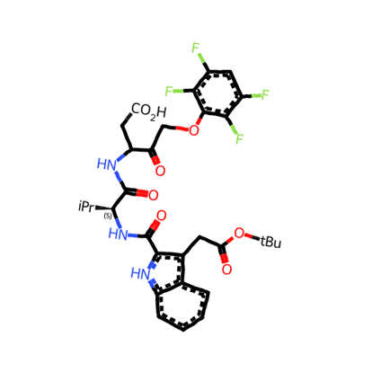 CC(C)[C@H](NC(=O)c1[nH]c2ccccc2c1CC(=O)OC(C)(C)C)C(=O)NC(CC(=O)O)C(=O)COc1c(F)c(F)cc(F)c1F